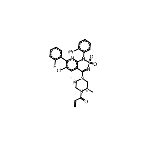 C=CC(=O)N1C[C@H](C)N(C2=NS(=O)(=O)N(c3ccccc3C(C)C)c3nc(-c4ccccc4F)c(Cl)cc32)C[C@H]1C